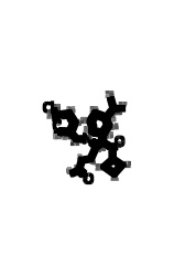 CC(=O)CCc1c(C(=O)C2CCC2)c2cc(C(C)C)ccc2n1Cc1ccc(Cl)cc1